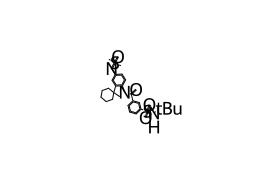 CC(C)(C)NS(=O)(=O)c1cccc(C(=O)N2CC3(CCCCC3)c3cc(N=S(C)(C)=O)ccc32)c1